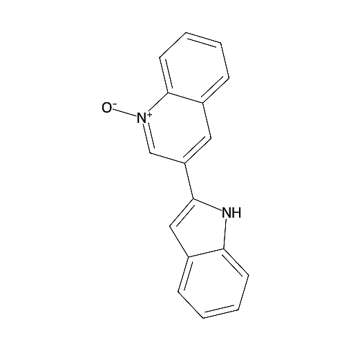 [O-][n+]1cc(-c2cc3ccccc3[nH]2)cc2ccccc21